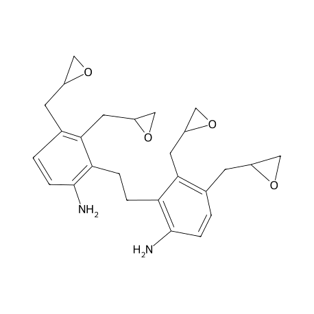 Nc1ccc(CC2CO2)c(CC2CO2)c1CCc1c(N)ccc(CC2CO2)c1CC1CO1